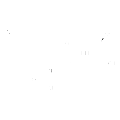 C#C[C@@H](CNC(=O)[C@@H]1CCCN(C(=O)CCC2CCNCC2)C1)C(=O)O.Cl